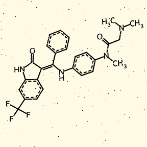 CN(C)CC(=O)N(C)c1ccc(NC(=C2C(=O)Nc3cc(C(F)(F)F)ccc32)c2ccccc2)cc1